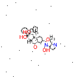 Cc1ncccc1N(CO)C(=O)c1ccc2c(c1)C(=O)C[C@@H]1C[C@@](O)(c3ccccc3)[C@](C)(O)C[C@@]21Cc1ccccc1